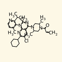 C=CC(=O)N1CC(C)N(c2nc(=O)n(-c3c(C)ccnc3C(C)C)c3nc(C4CCCCC4)c(Cl)cc23)CC1C